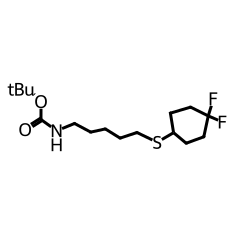 CC(C)(C)OC(=O)NCCCCCSC1CCC(F)(F)CC1